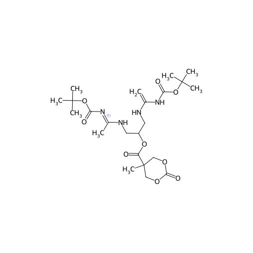 C=C(NCC(CN/C(C)=N/C(=O)OC(C)(C)C)OC(=O)C1(C)COC(=O)OC1)NC(=O)OC(C)(C)C